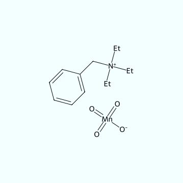 CC[N+](CC)(CC)Cc1ccccc1.[O]=[Mn](=[O])(=[O])[O-]